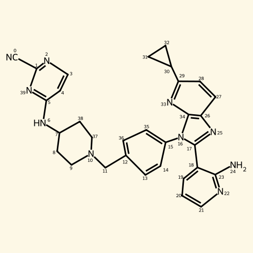 N#Cc1nccc(NC2CCN(Cc3ccc(-n4c(-c5cccnc5N)nc5ccc(C6CC6)nc54)cc3)CC2)n1